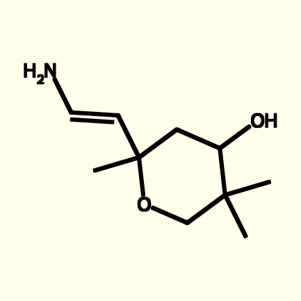 CC1(/C=C/N)CC(O)C(C)(C)CO1